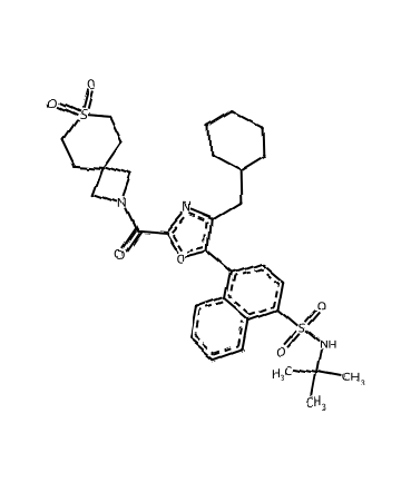 CC(C)(C)NS(=O)(=O)c1ccc(-c2oc(C(=O)N3CC4(CCS(=O)(=O)CC4)C3)nc2CC2CCCCC2)c2ccccc12